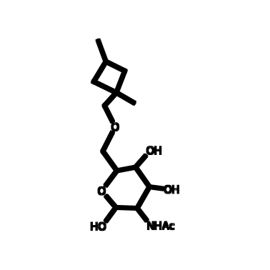 CC(=O)NC1C(O)OC(COCC2(C)CC(C)C2)C(O)C1O